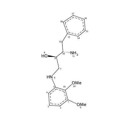 COc1cccc(NC[C@@H](O)[C@@H](N)Cc2ccccc2)c1OC